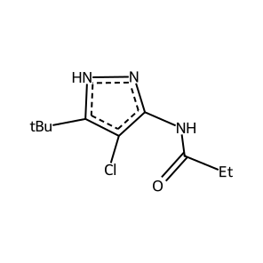 CCC(=O)Nc1n[nH]c(C(C)(C)C)c1Cl